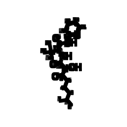 CC(C)CCCC(=O)N(O)C(=O)N[C@H](C(=O)Nc1ccccn1)C(C)(C)C